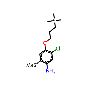 CSc1cc(OCCC[Si](C)(C)C)c(Cl)cc1N